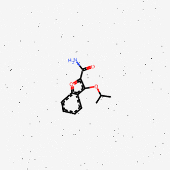 CC(C)Oc1c(C(N)=O)oc2ccccc12